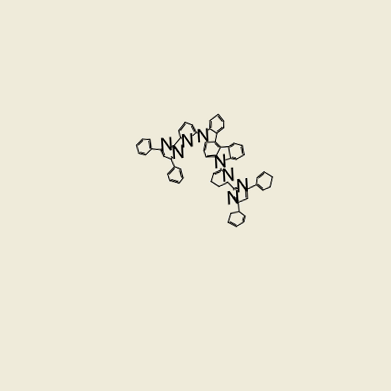 C1=CCC(c2cc(C3=CCCC=C3)nc(C3=NC(n4c5ccccc5c5c6c7ccccc7n(-c7cccc(-c8nc(-c9ccccc9)cc(-c9ccccc9)n8)n7)c6ccc54)=CCC3)n2)C=C1